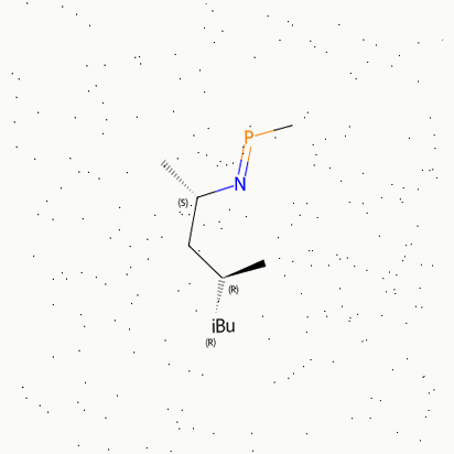 CC[C@@H](C)[C@H](C)C[C@H](C)N=PC